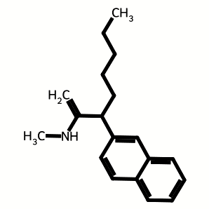 C=C(NC)C(CCCCC)c1ccc2ccccc2c1